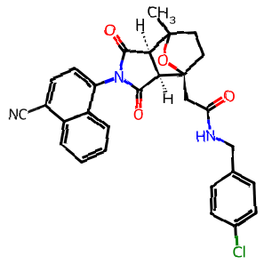 CC12CC[C@@](CC(=O)NCc3ccc(Cl)cc3)(O1)[C@H]1C(=O)N(c3ccc(C#N)c4ccccc34)C(=O)[C@H]12